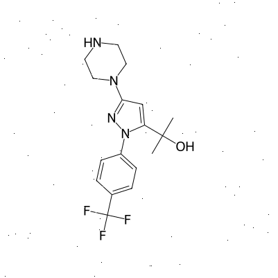 CC(C)(O)c1cc(N2CCNCC2)nn1-c1ccc(C(F)(F)F)cc1